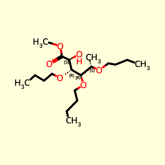 CCCCO[C@@H]([C@H](OCCCC)[C@H](O)C(=O)OC)[C@H](C)OCCCC